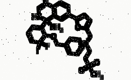 CS(=O)(=O)CCNCc1ccc(-c2ccc3c(c2)C(N)(C2=CC=CC(F)(I)C2OCc2ccccc2)NC=N3)o1